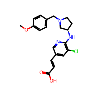 COc1ccc(CN2CC[C@@H](Nc3ncc(/C=C/C(=O)O)cc3Cl)C2)cc1